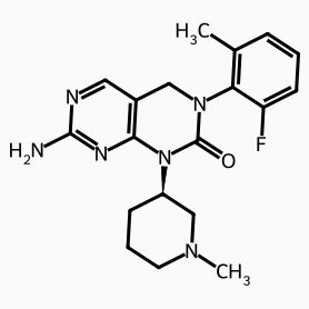 Cc1cccc(F)c1N1Cc2cnc(N)nc2N([C@@H]2CCCN(C)C2)C1=O